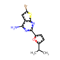 CC(C)c1ccc(-c2nc(N)c3cc(Br)sc3n2)o1